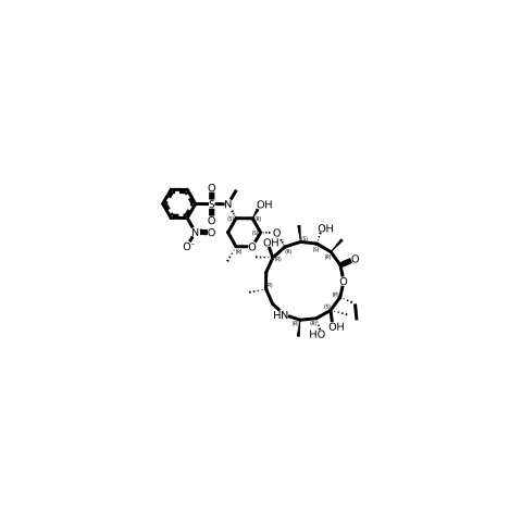 CC[C@H]1OC(=O)[C@H](C)[C@@H](O)[C@H](C)[C@@H](O[C@@H]2O[C@H](C)C[C@H](N(C)S(=O)(=O)c3ccccc3[N+](=O)[O-])[C@H]2O)[C@](C)(O)C[C@@H](C)CN[C@H](C)[C@@H](O)[C@]1(C)O